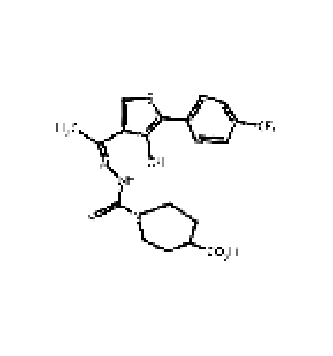 CC(=NNC(=S)N1CCC(C(=O)O)CC1)c1csc(-c2ccc(C(F)(F)F)cc2)c1O